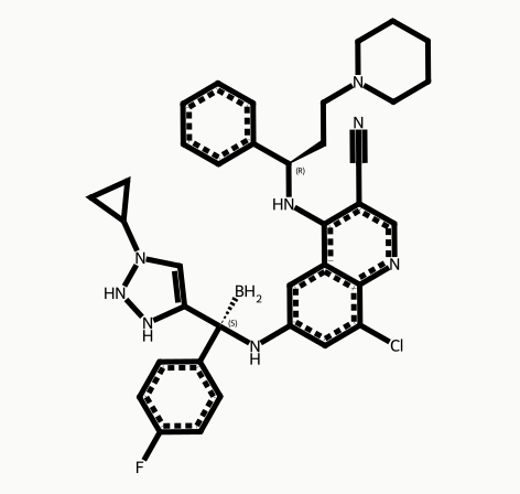 B[C@@](Nc1cc(Cl)c2ncc(C#N)c(N[C@H](CCN3CCCCC3)c3ccccc3)c2c1)(C1=CN(C2CC2)NN1)c1ccc(F)cc1